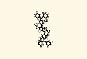 O=C1OC2=C(c3cc(Cl)c(N(c4ccccc4)c4ccccc4)cc3Cl)C(=O)OC2=C1c1cc(Cl)c(N(c2ccccc2)c2ccccc2)cc1Cl